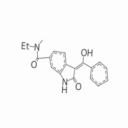 CCN(C)C(=O)c1ccc2c(c1)NC(=O)C2=C(O)c1ccccc1